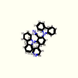 N#Cc1c(-n2c3ccccc3c3ccccc32)ccc(-c2ccncc2)c1-n1c2c(c3ccccc31)CCC=C2